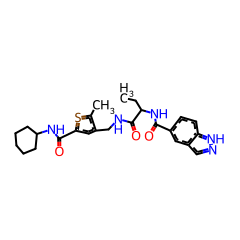 CCC(NC(=O)c1ccc2[nH]ncc2c1)C(=O)NCc1cc(C(=O)NC2CCCCC2)sc1C